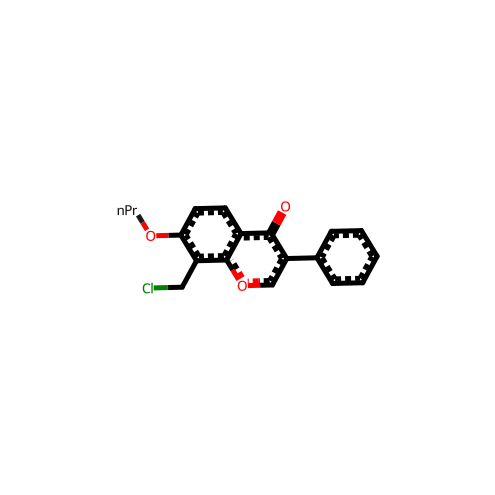 CCCOc1ccc2c(=O)c(-c3ccccc3)coc2c1CCl